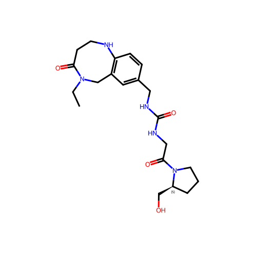 CCN1Cc2cc(CNC(=O)NCC(=O)N3CCC[C@H]3CO)ccc2NCCC1=O